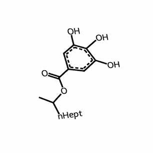 CCCCCCCC(C)OC(=O)c1cc(O)c(O)c(O)c1